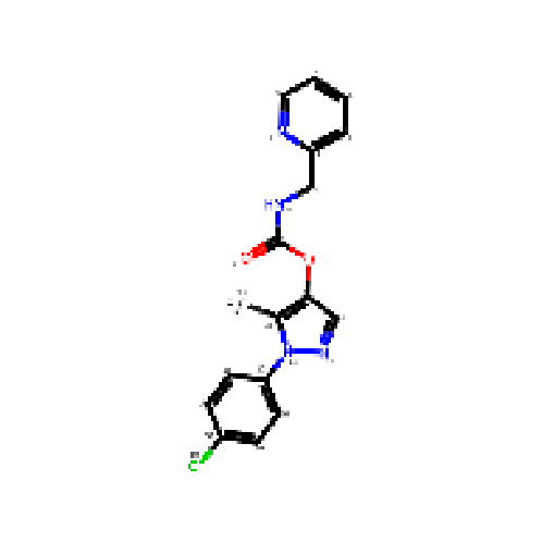 O=C(NCc1ccccn1)Oc1cnn(-c2ccc(Cl)cc2)c1C(F)(F)F